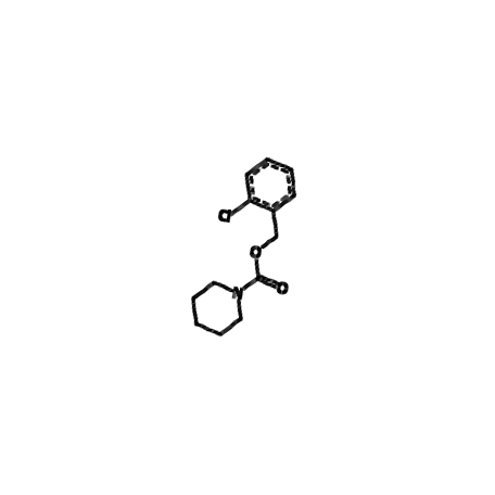 O=C(OCc1ccccc1Cl)N1CCCCC1